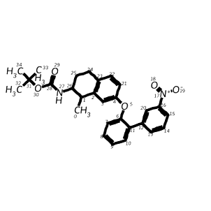 CC1c2cc(Oc3ccccc3-c3cccc([N+](=O)[O-])c3)ccc2CCC1NC(=O)OC(C)(C)C